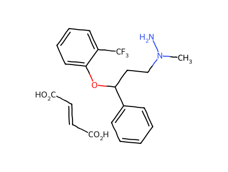 CN(N)CCC(Oc1ccccc1C(F)(F)F)c1ccccc1.O=C(O)C=CC(=O)O